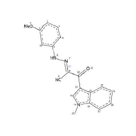 COc1cccc(N/N=C(\C#N)C(=O)c2cn(C)c3ccccc23)c1